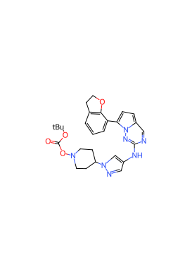 CC(C)(C)OC(=O)ON1CCC(n2cc(Nc3ncc4ccc(-c5cccc6c5OCC6)n4n3)cn2)CC1